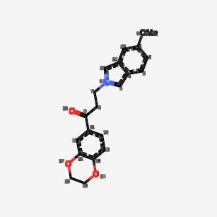 COc1ccc2cn(CCC(=O)c3ccc4c(c3)OCCO4)cc2c1